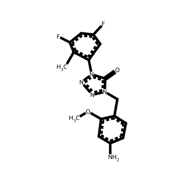 COc1cc(N)ccc1Cn1nnn(-c2cc(F)cc(F)c2C)c1=O